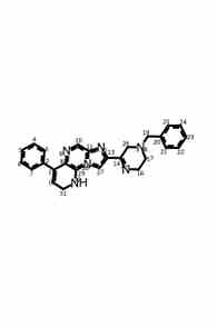 C1=C(c2ccccc2)c2ncc3nc(C4=NCCN(Cc5ccccc5)C4)cn3c2NC1